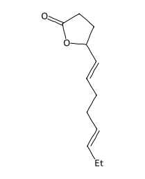 CCC=CCCC=CC1CCC(=O)O1